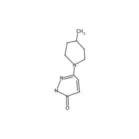 CC1CCN(C2=N[N]C(=O)C=C2)CC1